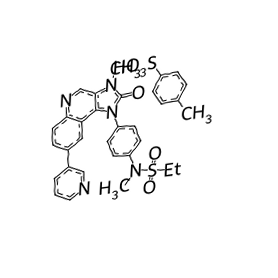 CCS(=O)(=O)N(C)c1ccc(-n2c(=O)n(C)c3cnc4ccc(-c5cccnc5)cc4c32)cc1.Cc1ccc(S(=O)(=O)O)cc1